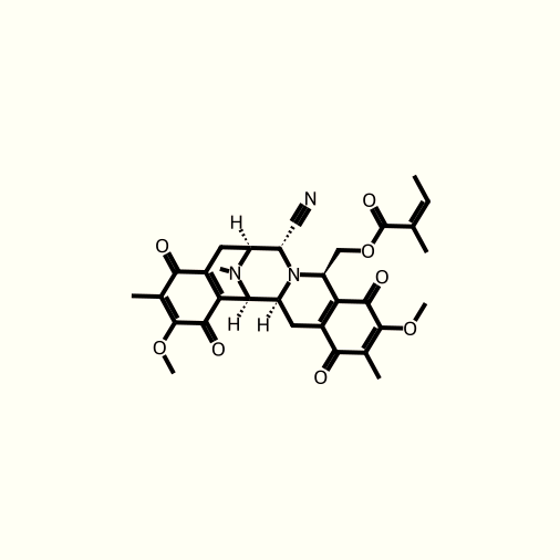 C/C=C(/C)C(=O)OC[C@H]1C2=C(C[C@H]3[C@H]4C5=C(C[C@@H]([C@H](C#N)N13)N4C)C(=O)C(C)=C(OC)C5=O)C(=O)C(C)=C(OC)C2=O